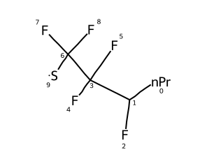 CCCC(F)C(F)(F)C(F)(F)[S]